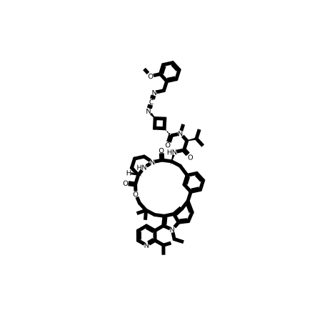 CCn1c(-c2cccnc2C(C)C)c2c3cc(ccc31)-c1cccc(c1)C[C@H](NC(=O)[C@H](C(C)C)N(C)C(=O)[C@H]1C[C@H](N=C=NCc3ccccc3OC)C1)C(=O)N1CCC[C@H](N1)C(=O)OCC(C)(C)C2